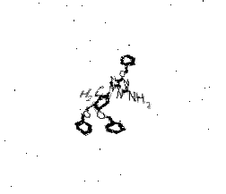 C=C1[C@H](COCc2ccccc2)[C@@H](OCc2ccccc2)C[C@@H]1n1cnc2c(OCc3ccccc3)nc(N)nc21